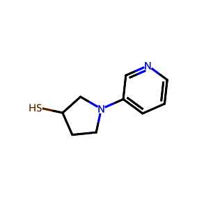 SC1CCN(c2cccnc2)C1